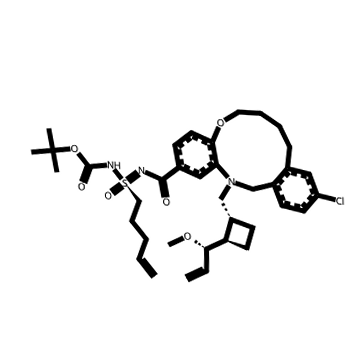 C=CCCC[S@](=O)(=NC(=O)c1ccc2c(c1)N(C[C@@H]1CC[C@H]1[C@H](C=C)OC)Cc1ccc(Cl)cc1CCCCO2)NC(=O)OC(C)(C)C